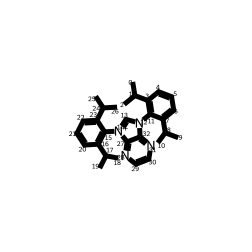 CC(C)c1cccc(C(C)C)c1-n1c[n+](-c2c(C(C)C)cccc2C(C)C)c2nccnc21